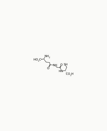 N[C@@H](CCC(=O)NCC(=O)N[C@H](CS)C(=O)O)C(=O)O